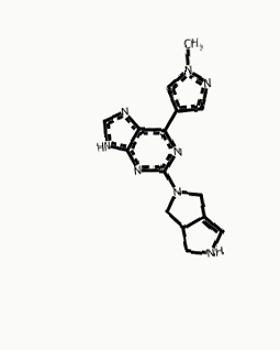 Cn1cc(-c2nc(N3CC4=CNCC4C3)nc3[nH]cnc23)cn1